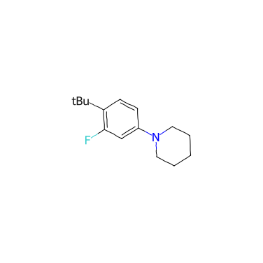 CC(C)(C)c1ccc(N2CCCCC2)cc1F